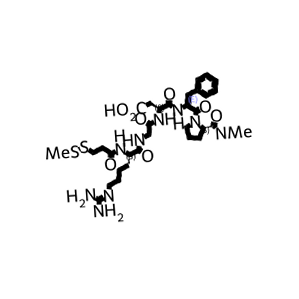 CNC(=O)[C@@H]1CCCN1C(=O)/C(=C\c1ccccc1)NC(=O)[C@H](CC(=O)O)NC(=O)CNC(=O)[C@H](CCCCN=C(N)N)NC(=O)CCSSC